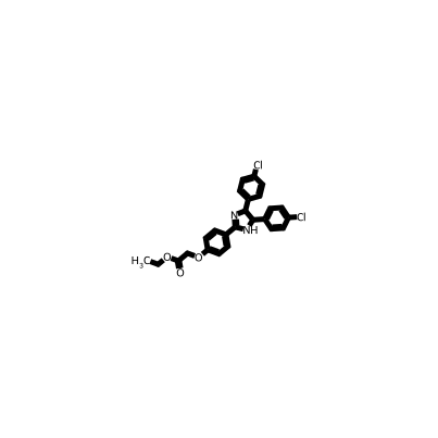 CCOC(=O)COc1ccc(C2=NC(c3ccc(Cl)cc3)C(c3ccc(Cl)cc3)N2)cc1